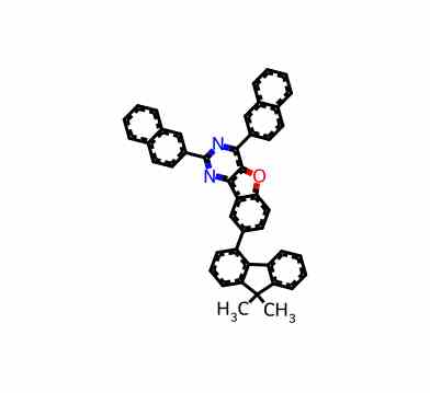 CC1(C)c2ccccc2-c2c(-c3ccc4oc5c(-c6ccc7ccccc7c6)nc(-c6ccc7ccccc7c6)nc5c4c3)cccc21